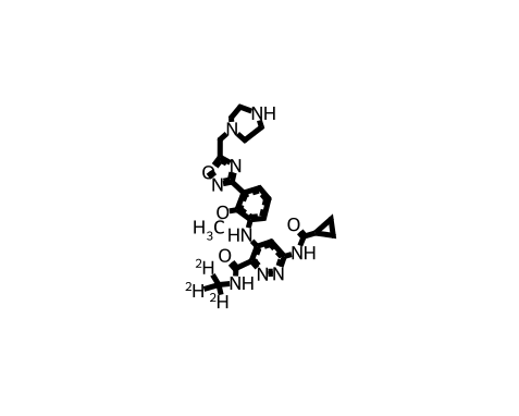 [2H]C([2H])([2H])NC(=O)c1nnc(NC(=O)C2CC2)cc1Nc1cccc(-c2noc(CN3CCNCC3)n2)c1OC